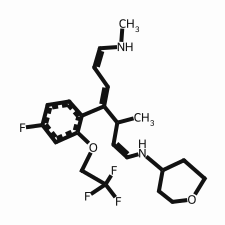 CN/C=C\C=C(/c1ccc(F)cc1OCC(F)(F)F)C(C)/C=C\NC1CCOCC1